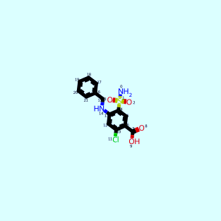 NS(=O)(=O)c1cc(C(=O)O)c(Cl)cc1NCc1ccccc1